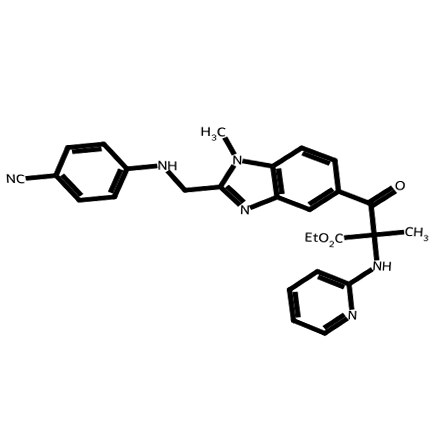 CCOC(=O)C(C)(Nc1ccccn1)C(=O)c1ccc2c(c1)nc(CNc1ccc(C#N)cc1)n2C